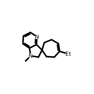 CCC1=CCCC2(CC1)CN(C)c1cccnc12